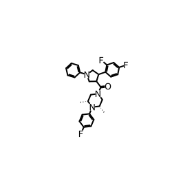 C[C@@H]1CN(C(=O)C2CN(c3ccccc3)CC2c2ccc(F)cc2F)C[C@H](C)N1c1ccc(F)cc1